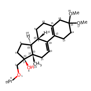 CCCOC[C@]1(O)CC[C@H]2[C@@H]3CCC4=C(CCC(OC)(OC)C4)C3=CC[C@@]21C